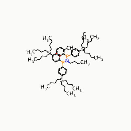 CCCCN(P(c1ccc([Si](CCCC)(CCCC)CCCC)cc1)c1ccc([Si](CCCC)(CCCC)CCCC)cc1)P(c1ccc([Si](CCCC)(CCCC)CCCC)cc1)c1ccccc1C